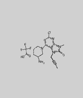 CC#CCn1c(=O)n(C)c2nc(Cl)nc(N3CCCC(N)C3)c21.O=C(O)C(F)(F)F